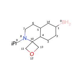 BC1CCC2C(CCN(C(C)C)C23COC3)C1